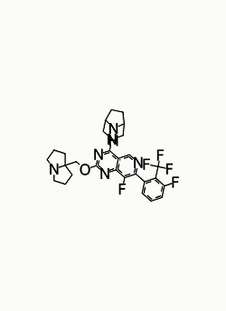 Fc1cccc(-c2ncc3c(N4CC5CCC(C4)N5)nc(OCC45CCCN4CCC5)nc3c2F)c1C(F)(F)F